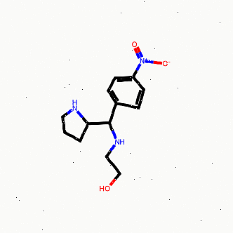 O=[N+]([O-])c1ccc(C(NCCO)C2CCCN2)cc1